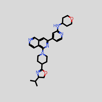 CC(C)C1COC(C2CCN(c3nc(-c4ccnc(NC5CCOCC5)c4)cc4cnccc34)CC2)=N1